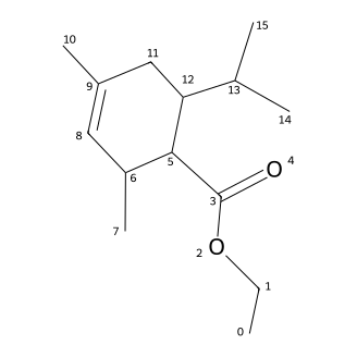 CCOC(=O)C1C(C)C=C(C)CC1C(C)C